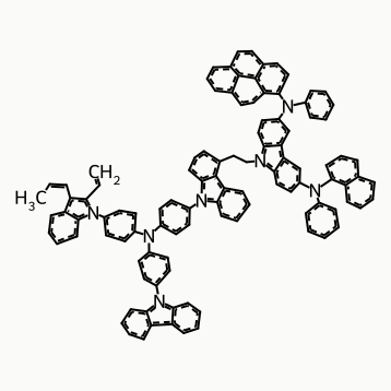 C=Cc1c(/C=C\C)c2ccccc2n1-c1ccc(N(c2ccc(-n3c4ccccc4c4ccccc43)cc2)c2ccc(-n3c4ccccc4c4c(CCn5c6ccc(N(c7ccccc7)c7cccc8ccccc78)cc6c6cc(N(c7ccccc7)c7ccc8ccc9cccc%10ccc7c8c9%10)ccc65)cccc43)cc2)cc1